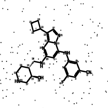 N#Cc1cc(F)cc(Nc2cc(NC[C@H]3CCNC[C@@H]3O)nc3c(C4CCC4)cnn23)c1